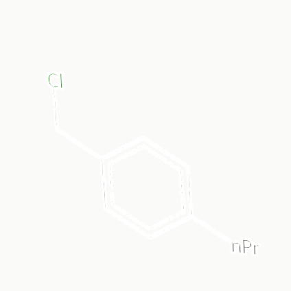 [CH2]CCc1ccc(CCl)cc1